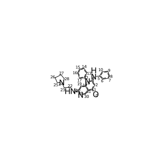 O=c1cc(Nc2ccccc2)n(-c2ccccc2)c2cc(NCCN3CCCC3)ncc12